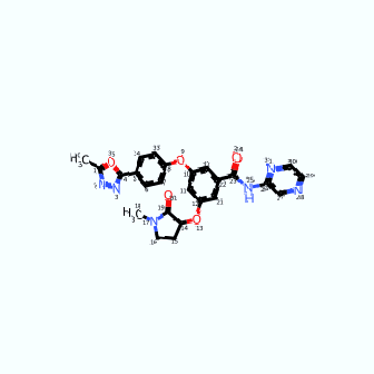 Cc1nnc(-c2ccc(Oc3cc(OC4CCN(C)C4=O)cc(C(=O)Nc4cnccn4)c3)cc2)o1